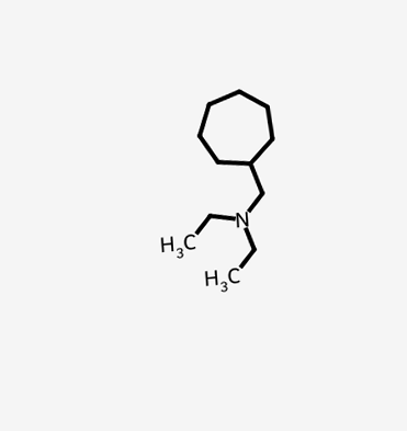 CCN(CC)CC1CCCCCC1